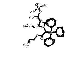 C=CCOC(=O)C(N1C(=O)[C@H]([C@@H](C)O[Si](C)(C)C(C)(C)C)[C@H]1CC(=O)O)=P(c1ccccc1)(c1ccccc1)c1ccccc1